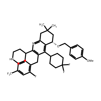 COc1ccc(CO[C@H]2CC(C)(C)Cc3nc(C4CCNCC4)c(Cc4ccc(C(F)(F)F)cc4F)c(C4CCC(F)(F)CC4)c32)cc1